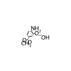 COC(=O)c1ccc(N)c(OCCO)c1